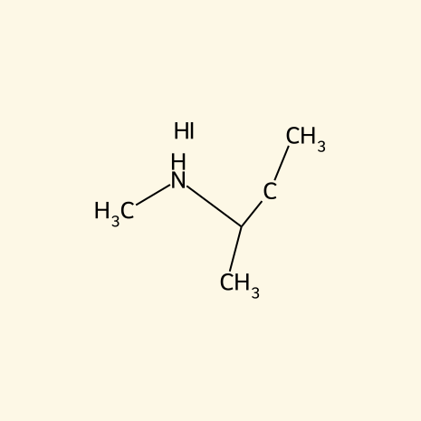 CCC(C)NC.I